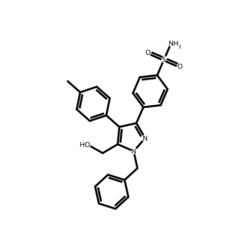 Cc1ccc(-c2c(-c3ccc(S(N)(=O)=O)cc3)nn(Cc3ccccc3)c2CO)cc1